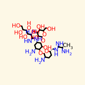 CC(N)C(=N)NC[C@@H]1CCC(N)[C@@H](OC2C(O)C(O[C@H]3OC(CO)C(O)[C@H](N)C3O)[C@H](NC(=N)C(O)C(O)C(O)C(O)CO)C[C@@H]2N)O1